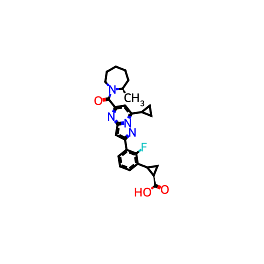 C[C@@H]1CCCCCN1C(=O)c1cc(C2CC2)n2nc(-c3cccc(C4C[C@H]4C(=O)O)c3F)cc2n1